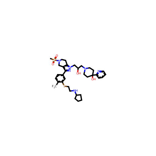 CS(=O)(=O)N1CCc2c(c(-c3ccc(C(F)(F)F)c(SCCNC4CCCC4)c3)nn2CC(O)CN2CCC(O)(c3ccccn3)CC2)C1